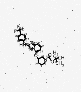 CC(C)(C)OC(=O)N1CCCC(Oc2cccc3nc(Nc4ccc(C(F)(F)F)cc4)nn23)C1